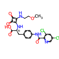 COCCNc1c(N[C@@H](Cc2ccc(NC(=O)c3ncc(Cl)cc3Cl)cc2)C(=O)O)c(=O)c1=O